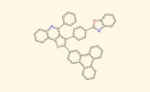 c1ccc(-c2nc3ccccc3c3sc(-c4ccc5c6ccccc6c6ccccc6c5c4)c(-c4ccc(-c5nc6ccccc6o5)cc4)c23)cc1